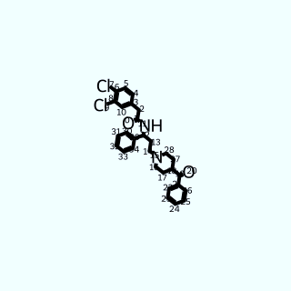 O=C(Cc1ccc(Cl)c(Cl)c1)NC(CCN1CCC(C(=O)c2ccccc2)CC1)c1ccccc1